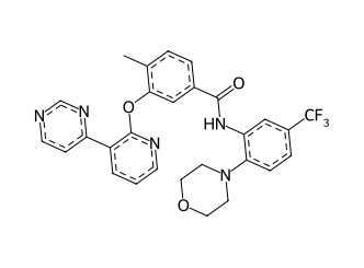 Cc1ccc(C(=O)Nc2cc(C(F)(F)F)ccc2N2CCOCC2)cc1Oc1ncccc1-c1ccncn1